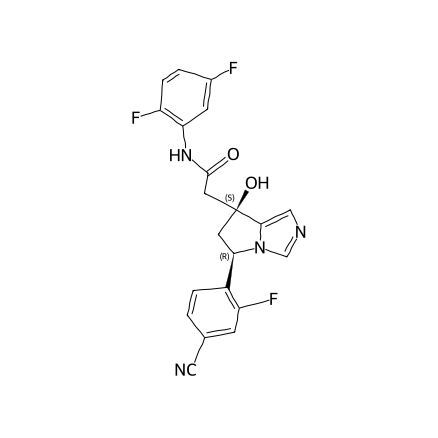 N#Cc1ccc([C@H]2C[C@](O)(CC(=O)Nc3cc(F)ccc3F)c3cncn32)c(F)c1